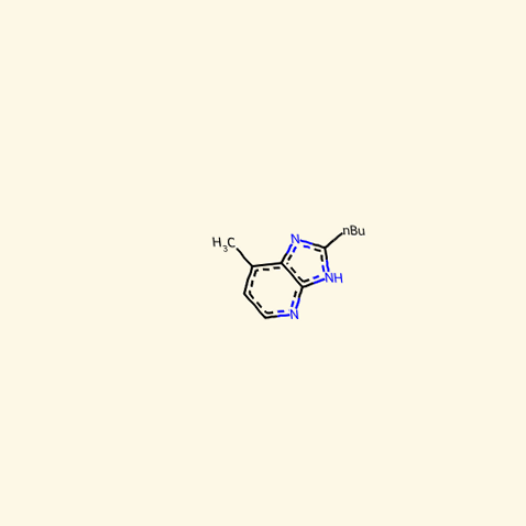 CCCCc1nc2c(C)ccnc2[nH]1